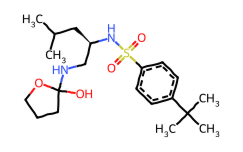 CC(C)C[C@H](CNC1(O)CCCO1)NS(=O)(=O)c1ccc(C(C)(C)C)cc1